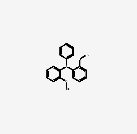 CC(C)(C)Oc1ccccc1P(c1ccccc1)c1ccccc1OC(C)(C)C